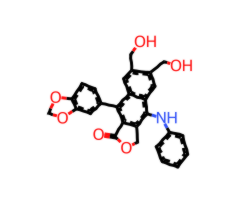 O=C1OCc2c1c(-c1ccc3c(c1)OCO3)c1cc(CO)c(CO)cc1c2Nc1ccccc1